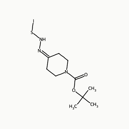 CC(C)(C)OC(=O)N1CCC(=NNSI)CC1